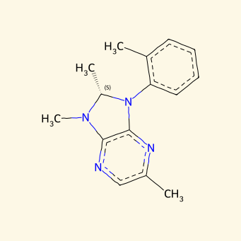 Cc1cnc2c(n1)N(c1ccccc1C)[C@@H](C)N2C